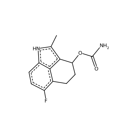 Cc1[nH]c2ccc(F)c3c2c1C(OC(N)=O)CC3